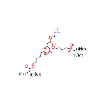 CCCCCCCCC(CCCCCC)C(=O)OCCCCCC(=O)O[C@@H](CC(=O)OCCN(C)C)C(=O)OCCCCOC(=O)C(CCCCCC)CCCCCCCC